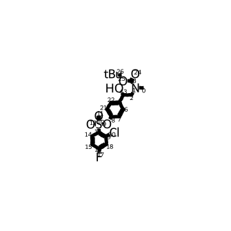 CN(CC(O)c1ccc(OS(=O)(=O)c2ccc(F)cc2Cl)cc1)C(=O)OC(C)(C)C